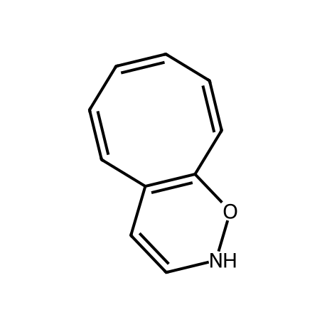 c1cccc2o[nH]ccc=2cc1